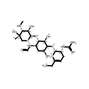 CN[C@@H]1[C@@H](O)[C@@H](O[C@H]2[C@H](NC=O)C[C@H](N)C(O[C@H]3OC(CN)=CC[C@H]3NC(=N)N)[C@@H]2O)OC[C@]1(C)O